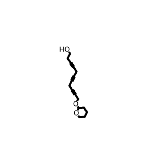 OCCC#CCC#CCC#CCOC1CCCCO1